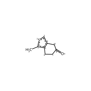 Cc1scc2c1CCC(=O)C2